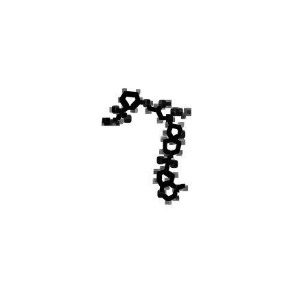 CNS(=O)(=O)c1cccc(OCC(O)CN(C(=O)O)C2COC3(CCN(S(=O)(=O)c4ccc5c(c4)N(C)CCO5)CC3)C2)c1